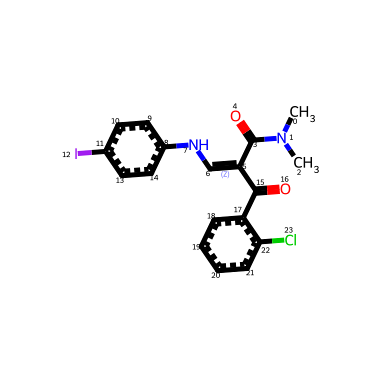 CN(C)C(=O)/C(=C\Nc1ccc(I)cc1)C(=O)c1ccccc1Cl